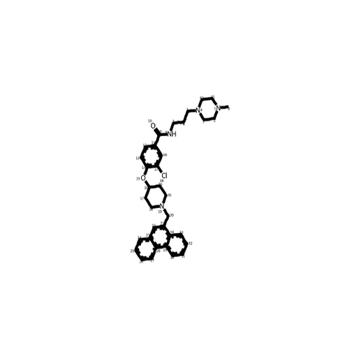 CN1CCN(CCCNC(=O)c2ccc(OC3CCN(Cc4cc5ccccc5c5ccccc45)CC3)c(Cl)c2)CC1